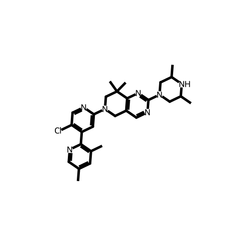 Cc1cnc(-c2cc(N3Cc4cnc(N5CC(C)NC(C)C5)nc4C(C)(C)C3)ncc2Cl)c(C)c1